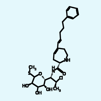 CSC1O[C@H]([C@H](NC(=O)[C@@H]2CC=C(/C=C/CCCc3ccccc3)CCN2)[C@H](C)Cl)[C@@H](O)C(O)[C@H]1O